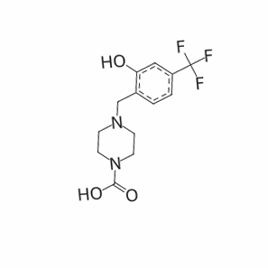 O=C(O)N1CCN(Cc2ccc(C(F)(F)F)cc2O)CC1